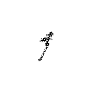 [N-]=[N+]=NCCOCCOCCOCCOc1ccc(CCc2c(-c3ccc(C(F)(F)F)cc3)nn(-c3nc4ncccc4[nH]3)c2O)cc1